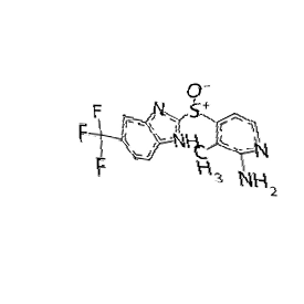 Cc1c([S+]([O-])c2nc3cc(C(F)(F)F)ccc3[nH]2)ccnc1N